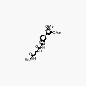 COc1cc(N2CCc3nc(NC(=O)NCCC(=O)NC(C)(C)C)sc3C2)nc(OC)n1